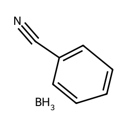 B.N#Cc1ccccc1